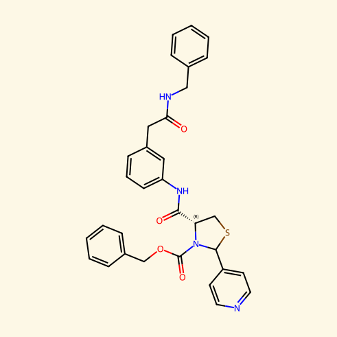 O=C(Cc1cccc(NC(=O)[C@@H]2CSC(c3ccncc3)N2C(=O)OCc2ccccc2)c1)NCc1ccccc1